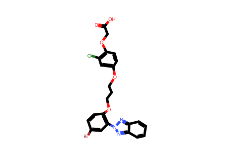 O=C(O)COc1ccc(OCCCOc2ccc(Br)cc2-n2nc3ccccc3n2)cc1Cl